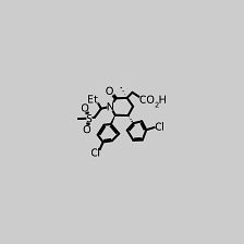 CCC(CS(C)(=O)=O)N1C(=O)[C@@](C)(CC(=O)O)C[C@H](c2cccc(Cl)c2)[C@H]1c1ccc(Cl)cc1